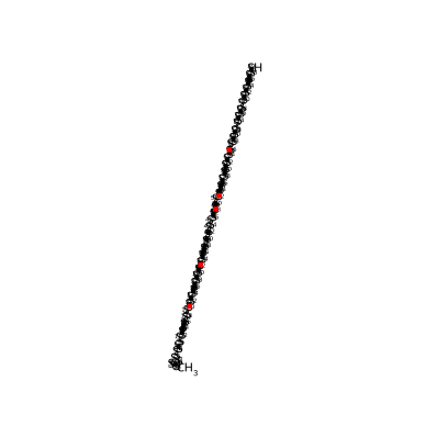 COS(=S)(=S)SSSSSSSSSSSSSSSSSSSSSSSSSSSSSSSSSSSSSSSSSSSSSSSSSSSSSSSSSSSSSSSSSSSSSSSSSSSSSSSSSSSSS